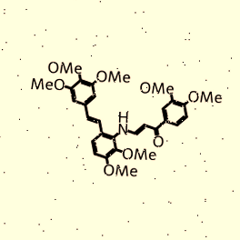 COc1ccc(C(=O)C=CNc2c(C=Cc3cc(OC)c(OC)c(OC)c3)ccc(OC)c2OC)cc1OC